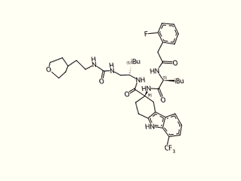 CCC(C)[C@H](NC(=O)Cc1ccccc1F)C(=O)N[C@]1(C(=O)NC(CNC(=O)NCCC2CCOCC2)[C@@H](C)CC)CCc2[nH]c3c(C(F)(F)F)cccc3c2C1